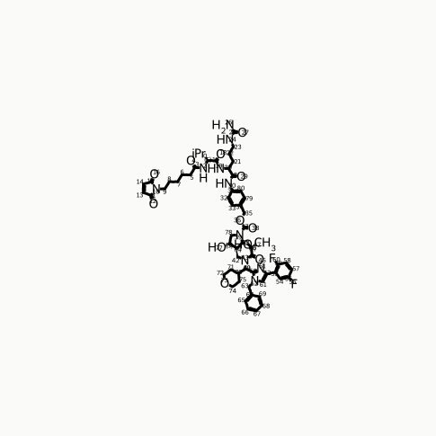 CC(C)[C@H](NC(=O)CCCCCN1C(=O)C=CC1=O)C(=O)NC(CCCNC(N)=O)C(=O)Nc1ccc(COC(=O)N2C[C@@H](CN(C(=O)[C@@H](C)O)[C@H](c3nc(-c4cc(F)ccc4F)cn3Cc3ccccc3)C3CCOCC3)[C@H](O)C2)cc1